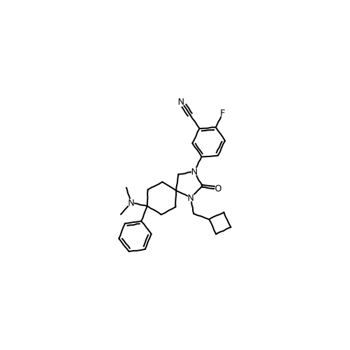 CN(C)C1(c2ccccc2)CCC2(CC1)CN(c1ccc(F)c(C#N)c1)C(=O)N2CC1CCC1